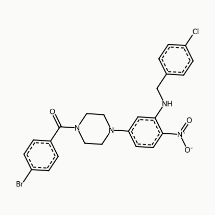 O=C(c1ccc(Br)cc1)N1CCN(c2ccc([N+](=O)[O-])c(NCc3ccc(Cl)cc3)c2)CC1